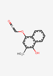 O=C=COc1cc(C(=O)O)c(O)c2ccccc12